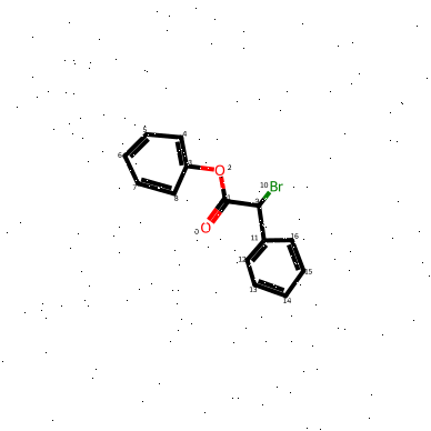 O=C(Oc1ccccc1)C(Br)c1ccccc1